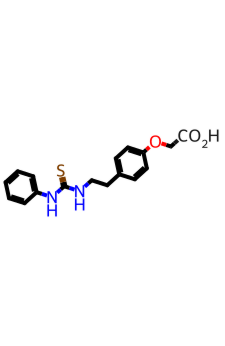 O=C(O)COc1ccc(CCNC(=S)Nc2ccccc2)cc1